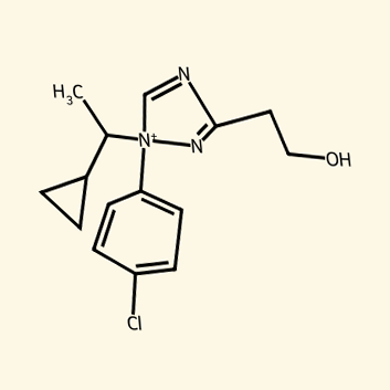 CC(C1CC1)[N+]1(c2ccc(Cl)cc2)C=NC(CCO)=N1